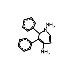 NC1=C(c2ccccc2)C(c2ccccc2)N(N)C=C1